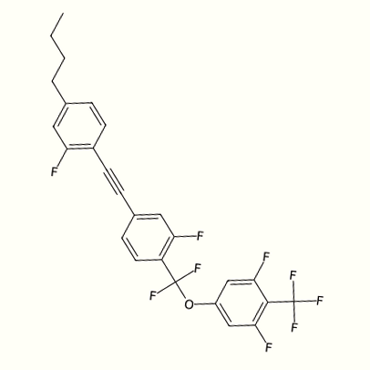 CCCCc1ccc(C#Cc2ccc(C(F)(F)Oc3cc(F)c(C(F)(F)F)c(F)c3)c(F)c2)c(F)c1